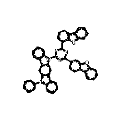 c1ccc(-n2c3ccccc3c3cc4c(cc32)c2ccccc2n4-c2nc(-c3ccc4c(c3)oc3ccccc34)nc(-c3cccc4c3oc3ccccc34)n2)cc1